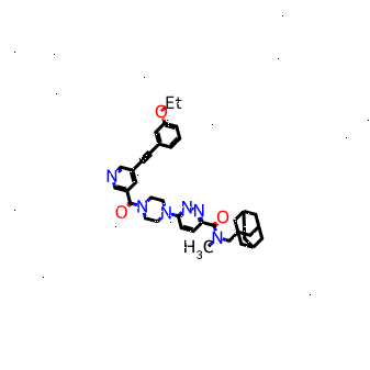 CCOc1cccc(C#Cc2cncc(C(=O)N3CCN(c4ccc(C(=O)N(C)CC56CC7CC(CC(C7)C5)C6)nn4)CC3)c2)c1